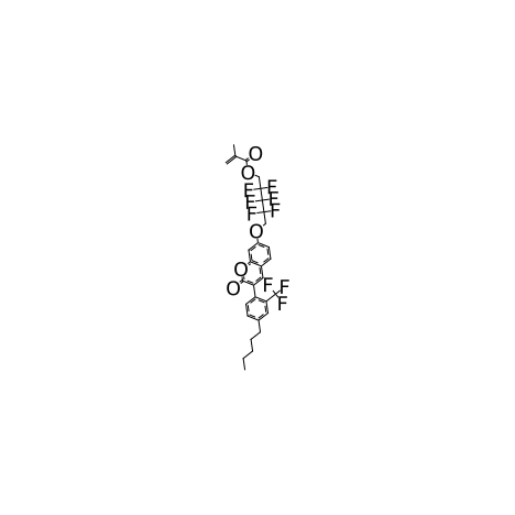 C=C(C)C(=O)OCC(F)(F)C(F)(F)C(F)(F)COc1ccc2cc(-c3ccc(CCCCC)cc3C(F)(F)F)c(=O)oc2c1